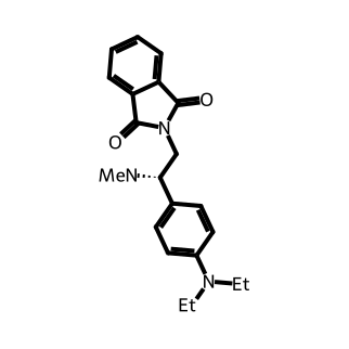 CCN(CC)c1ccc([C@@H](CN2C(=O)c3ccccc3C2=O)NC)cc1